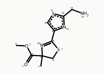 COC(=O)C1(C)CSC(c2csc(CN)n2)=N1